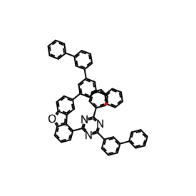 c1ccc(-c2cccc(-c3cc(-c4ccccc4)cc(-c4ccc5oc6cccc(-c7nc(-c8ccccc8)nc(-c8cccc(-c9ccccc9)c8)n7)c6c5c4)c3)c2)cc1